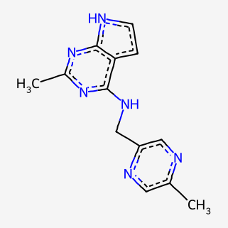 Cc1cnc(CNc2nc(C)nc3[nH]ccc23)cn1